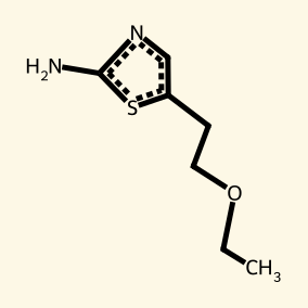 CCOCCc1cnc(N)s1